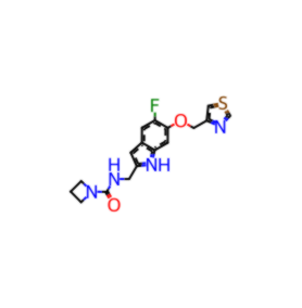 O=C(NCc1cc2cc(F)c(OCc3cscn3)cc2[nH]1)N1CCC1